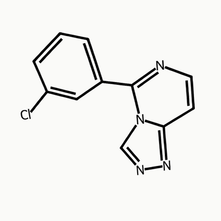 Clc1cccc(-c2nccc3nncn23)c1